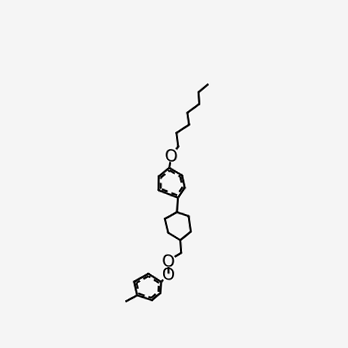 CCCCCCCOc1ccc(C2CCC(COOc3ccc(C)cc3)CC2)cc1